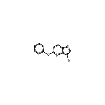 Brc1csc2ccc(Sc3ccccc3)nc12